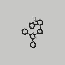 c1ccc(-c2cc(-c3ccccc3)nc(-c3cccc(-c4cccc5[nH]c6ccccc6c45)c3)n2)cc1